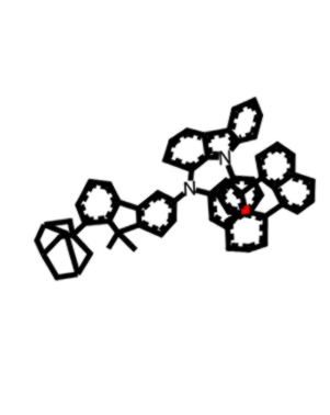 CC1(C)c2ccc(N(c3cccc(-c4cccc5cccc(-c6ccccc6)c45)c3)c3cccc4c5ccccc5n(-c5ccccc5)c34)cc2-c2cccc(C34CC5CC(CC(C5)C3)C4)c21